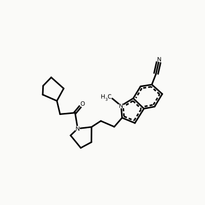 Cn1c(CCC2CCCN2C(=O)CC2CCCC2)cc2ccc(C#N)cc21